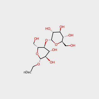 CCCCCCCCCCCO[C@@H]1O[C@H](CO)[C@@H](O[C@H]2O[C@H](CO)[C@@H](O)[C@H](O)[C@H]2O)[C@H](O)[C@H]1O